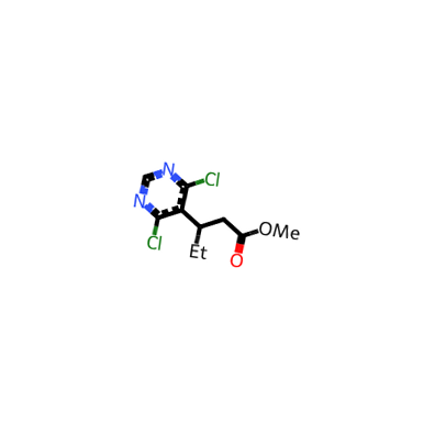 CCC(CC(=O)OC)c1c(Cl)ncnc1Cl